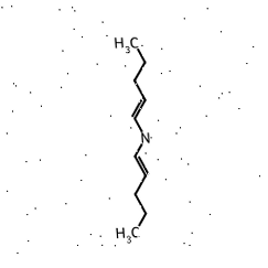 CCCC=C[N]C=CCCC